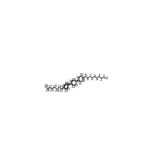 CCCCCCCCCCC1CCC(C2C=CC(c3ccc(CCCCCCCC)cc3)=CC2)CC1